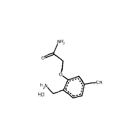 Cl.N#Cc1ccc(CN)c(OCC(N)=O)c1